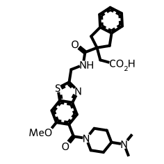 COc1cc2sc(CNC(=O)C3(CC(=O)O)Cc4ccccc4C3)nc2cc1C(=O)N1CCC(N(C)C)CC1